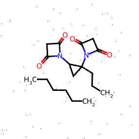 [CH2]CCC1(N2C(=O)CC2=O)CC1N1C(=O)CC1=O.[CH2]CCCCC